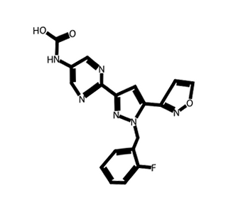 O=C(O)Nc1cnc(-c2cc(-c3ccon3)n(Cc3ccccc3F)n2)nc1